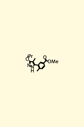 COC(=O)c1ccc(C)c(-c2[nH]nc(OC(C)C)c2C)c1